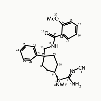 CNN(C(N)=NC#N)[C@H]1CC[C@](CNC(=O)c2ccccc2OC)(c2ccccc2)CC1